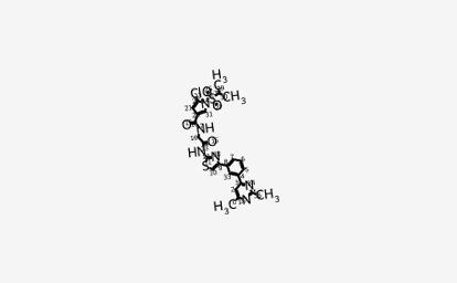 Cc1cc(-c2cccc(-c3csc(NC(=O)CNC(=O)c4cc(Cl)n(S(=O)(=O)C(C)C)c4)n3)c2)nc(C)n1